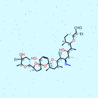 CC[C@@H](C=O)[C@H]1CC[C@H](C)[C@H]([C@@H](C)[C@H](O)[C@H](C)C(=NC)[C@H](CC)[C@H]2O[C@]3(C=C[C@@H](O)[C@]4(CC[C@@](C)([C@H]5CC[C@](O)(CC)[C@H](C)O5)O4)O3)[C@H](C)C[C@@H]2C)O1